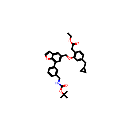 CCOC(=O)Cc1ccc(CC2CC2)cc1OCc1cc(-c2cccc(CNC(=O)OC(C)(C)C)c2)c2occc2c1